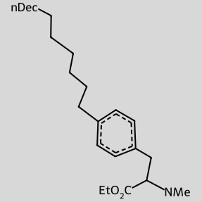 CCCCCCCCCCCCCCCCc1ccc(CC(NC)C(=O)OCC)cc1